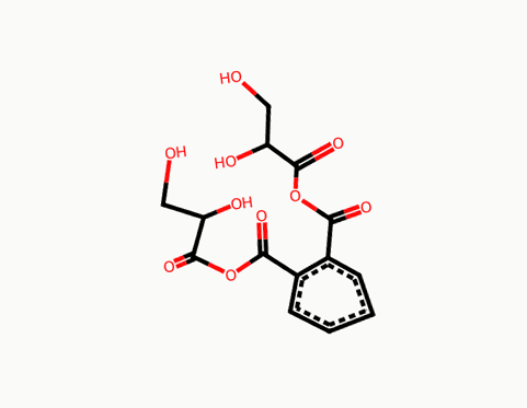 O=C(OC(=O)C(O)CO)c1ccccc1C(=O)OC(=O)C(O)CO